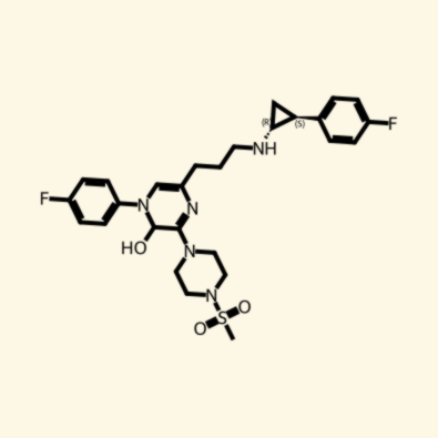 CS(=O)(=O)N1CCN(C2=NC(CCCN[C@@H]3C[C@H]3c3ccc(F)cc3)=CN(c3ccc(F)cc3)C2O)CC1